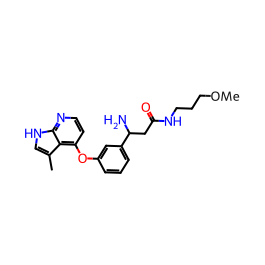 COCCCNC(=O)CC(N)c1cccc(Oc2ccnc3[nH]cc(C)c23)c1